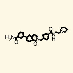 NC(=O)c1cccc(-c2ccc3c(=O)n(Cc4ccc(C(=O)NCCN5CCCC5)cc4)ccc3c2)c1